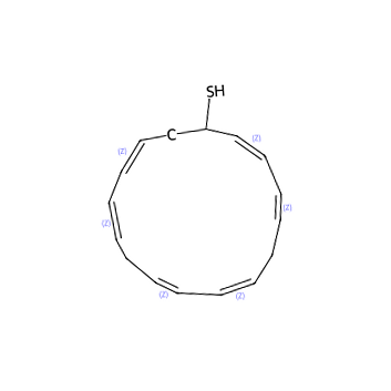 SC1/C=C\C=C/C/C=C\C=C/C/C=C\C=C/C1